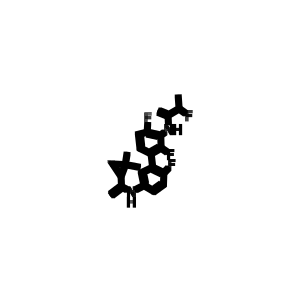 C=C(Nc1c(F)ccc(-c2cc(NC(=C)C3CC3(C)C)ccc2F)c1F)C(C)F